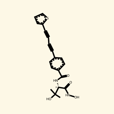 CC(C)(O)[C@H](NC(=O)c1ccc(C#CC#Cc2cccs2)cc1)C(=O)NO